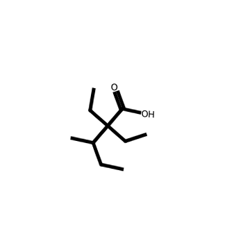 CCC(C)C(CC)(CC)C(=O)O